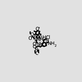 CCOC(=O)CC[C@H](NS(=O)(=O)c1c(C)cc(OC)c(C)c1C)C(=O)NC(Cc1ccc2c(N)nccc2c1)C(=O)N1CCCCC1.Cl